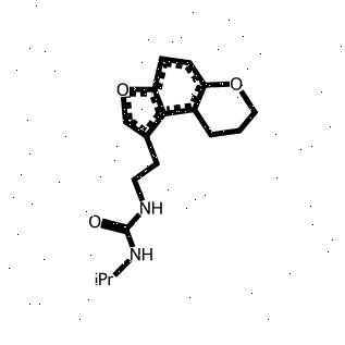 CC(C)NC(=O)NCCc1coc2ccc3c(c12)CCCO3